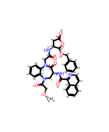 COCC(=O)N1C[C@H](NC(=O)c2nccc3ccccc23)C(=O)N(CC(=O)N[C@H]2CC(=O)OC2OCc2ccccc2)c2ccccc21